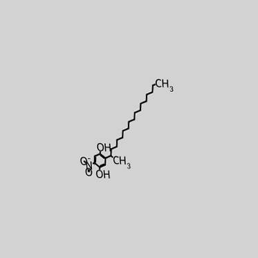 CCCCCCCCCCCCCCCCC(C)c1cc(O)c([N+](=O)[O-])cc1O